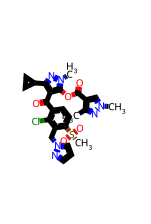 Cc1nn(C)cc1C(=O)Oc1c(C(=O)c2ccc(S(C)(=O)=O)c(Cn3cccn3)c2Cl)c(C2CC2)nn1C